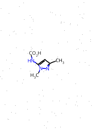 Cc1cc(NC(=O)O)n(C)n1